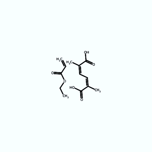 C=CC(=O)OCC.CC(=CC=C(C)C(=O)O)C(=O)O